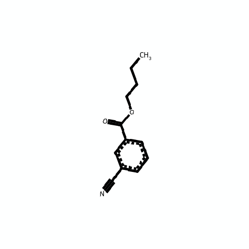 CCCCOC(=O)c1cccc(C#N)c1